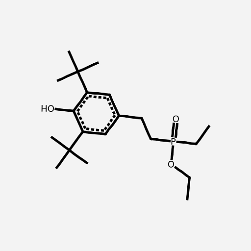 CCOP(=O)(CC)CCc1cc(C(C)(C)C)c(O)c(C(C)(C)C)c1